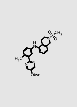 COc1cnc(-c2cc(Nc3cccc4c3CCN(S(C)(=O)=O)C4)ccc2C)nc1